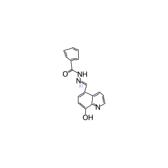 O=C(N/N=C/c1ccc(O)c2ncccc12)c1ccccc1